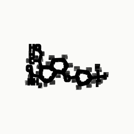 CC(CO)c1c(C(N)=O)ccc2c(Oc3ccc(C(F)(F)F)cc3)cccc12